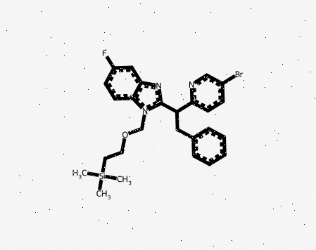 C[Si](C)(C)CCOCn1c(C(Cc2ccccc2)c2ccc(Br)cn2)nc2cc(F)ccc21